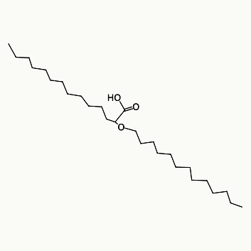 CCCCCCCCCCCCCOC(CCCCCCCCCCCC)C(=O)O